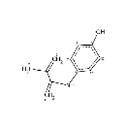 C=C(C)C(=C)Nc1ccc(O)cc1